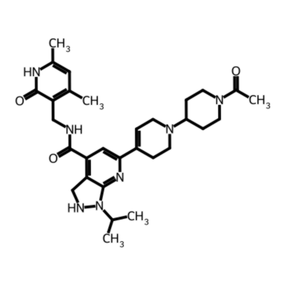 CC(=O)N1CCC(N2CC=C(c3cc(C(=O)NCc4c(C)cc(C)[nH]c4=O)c4c(n3)N(C(C)C)NC4)CC2)CC1